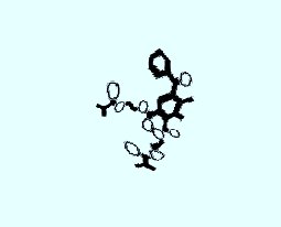 C=C(C)C(=O)OCCOC(=O)c1cc(C(=O)c2ccccc2)c(C)c(C)c1C(=O)OCCOC(=O)C(=C)C